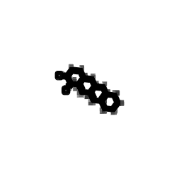 O=C1C=Cc2cc3cc4c(cc3cc2C1=O)CCCC4